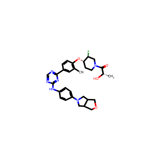 C[C@H](O)C(=O)N1CC[C@H](Oc2ccc(-c3ncnc(Nc4ccc(N5CC6COCC6C5)cc4)n3)cc2C#N)[C@@H](F)C1